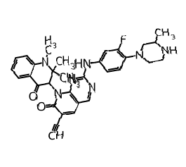 C#Cc1cc2cnc(Nc3ccc(N4CCNC(C)C4)c(F)c3)nc2n(C2C(=O)c3ccccc3N(C)C2(C)C)c1=O